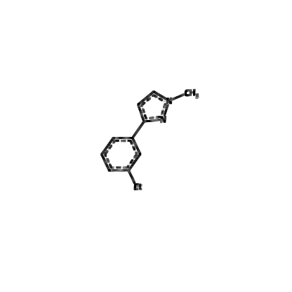 CCc1cccc(-c2ccn(C)n2)c1